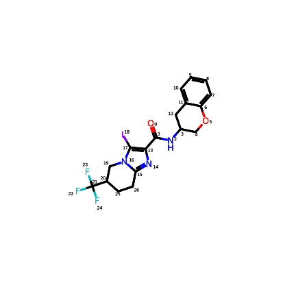 O=C(NC1COc2ccccc2C1)c1nc2n(c1I)CC(C(F)(F)F)CC2